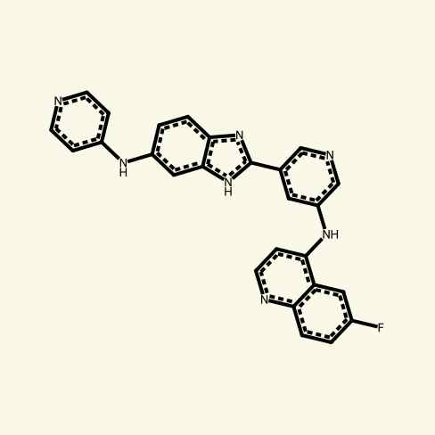 Fc1ccc2nccc(Nc3cncc(-c4nc5ccc(Nc6ccncc6)cc5[nH]4)c3)c2c1